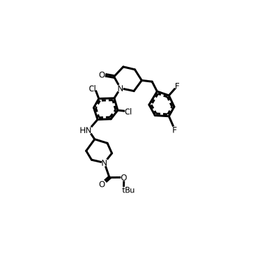 CC(C)(C)OC(=O)N1CCC(Nc2cc(Cl)c(N3CC(Cc4ccc(F)cc4F)CCC3=O)c(Cl)c2)CC1